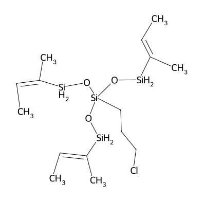 CC=C(C)[SiH2]O[Si](CCCCl)(O[SiH2]C(C)=CC)O[SiH2]C(C)=CC